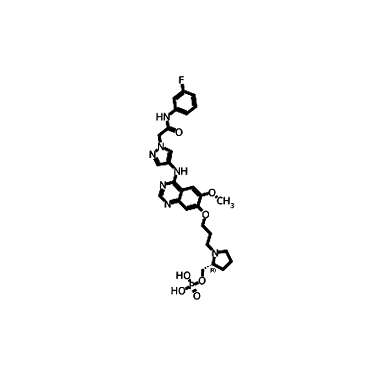 COc1cc2c(Nc3cnn(CC(=O)Nc4cccc(F)c4)c3)ncnc2cc1OCCCN1CCC[C@@H]1COP(=O)(O)O